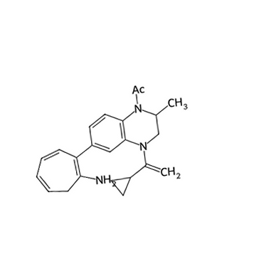 C=C(C1CC1)N1CC(C)N(C(C)=O)c2ccc(C3=C(N)CC=CC=C3)cc21